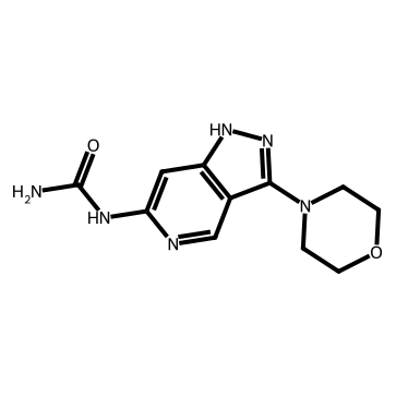 NC(=O)Nc1cc2[nH]nc(N3CCOCC3)c2cn1